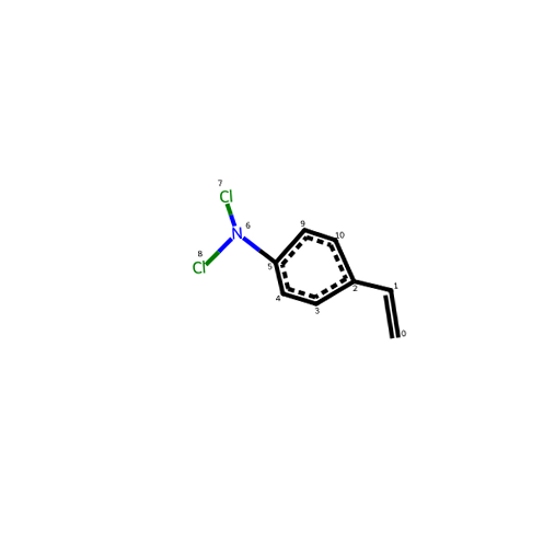 C=Cc1ccc(N(Cl)Cl)cc1